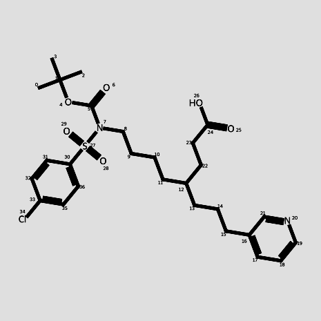 CC(C)(C)OC(=O)N(CCCCC(CCCc1cccnc1)CCC(=O)O)S(=O)(=O)c1ccc(Cl)cc1